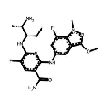 CC[C@@H](Nc1nc(Nc2cc(F)c3c(c2)c(OC)nn3C)c(C(N)=O)cc1F)[C@H](C)N